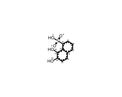 O=S(=O)(O)c1cccc2ccc(O)c(O)c12